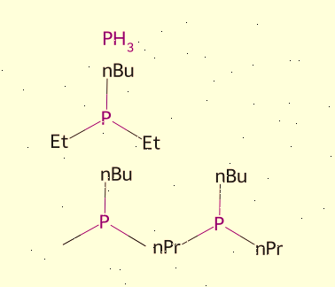 CCCCP(C)C.CCCCP(CC)CC.CCCCP(CCC)CCC.P